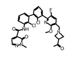 COc1nc(-c2cccc(-c3cccc(NC(=O)c4ccnn(C)c4=O)c3Cl)c2Cl)c(F)cc1CN1CC(C(C)=O)C1